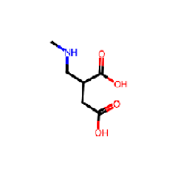 CNCC(CC(=O)O)C(=O)O